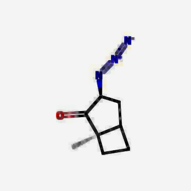 C[C@@]12CCC1C[C@H](N=[N+]=[N-])C2=O